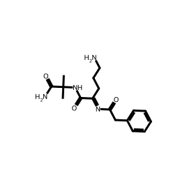 CC(C)(NC(=O)/C(CCCN)=N/C(=O)Cc1ccccc1)C(N)=O